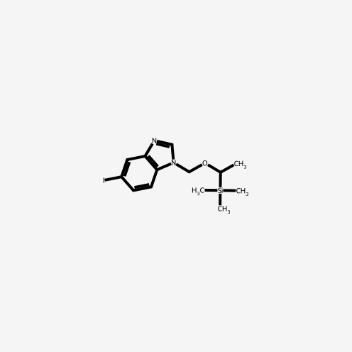 CC(OCn1cnc2cc(I)ccc21)[Si](C)(C)C